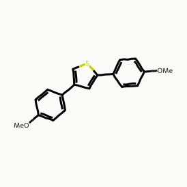 COc1ccc(-c2csc(-c3ccc(OC)cc3)c2)cc1